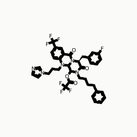 O=C1[C@H](Cc2cccc(F)c2)N2C(=O)c3cc(C(F)(F)F)ccc3N(CCCn3ccnc3)C2C(OC(=O)C(F)(F)F)N1CCCCc1ccccc1